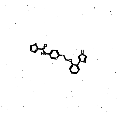 O=C(Nc1ccc(CCOc2ccccc2-c2c[nH]cn2)cc1)c1cccs1